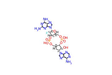 Nc1nc(N)c2ncn([C@@H]3O[C@@H]4COP(=O)(O)OC5[C@@H](COP(=O)(O)O[C@@H]4[C@@H]3F)C[C@@H](n3cnc4c(N)ncnc43)[C@H]5O)c2n1